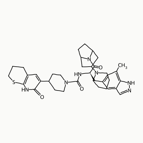 Cc1cc(C[C@@H](NC(=O)N2CCC(c3cc4c([nH]c3=O)SCCC4)CC2)C(=O)N2C3CCC2CC(N2CCCCC2)C3)cc2cn[nH]c12